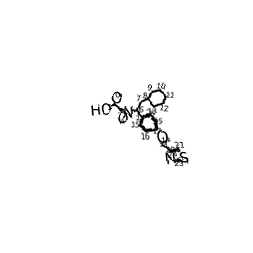 O=C(O)C1ON1C(CC1CCCCC1)c1ccc(OCc2cscn2)cc1